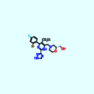 CCOC(=O)C1=C(CN2CCO[C@@H](CO)C2)NC(c2nc[nH]n2)=NC1c1ccc(F)cc1Br